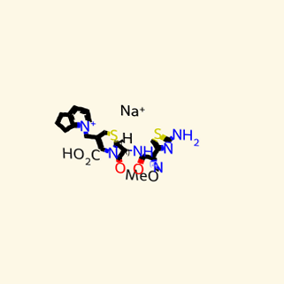 CO/N=C(\C(=O)N[C@@H]1C(=O)N2C(C(=O)O)=C(C[n+]3cccc4c3CCC4)CS[C@H]12)c1csc(N)n1.[Na+]